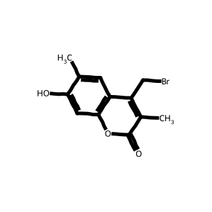 Cc1cc2c(CBr)c(C)c(=O)oc2cc1O